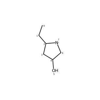 CCC1CC(O)C[N]1